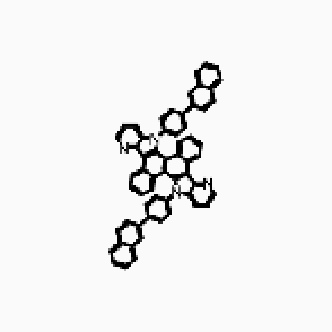 c1ccc2cc(-c3ccc(-n4c5cccnc5c5c6ccccc6c6c(c7ccccc7c7c8ncccc8n(-c8ccc(-c9ccc%10ccccc%10c9)cc8)c76)c54)cc3)ccc2c1